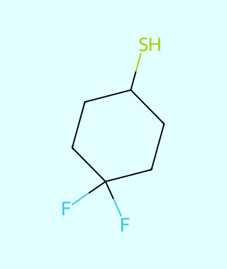 FC1(F)CCC(S)CC1